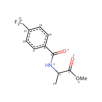 COC(=O)C(C)NC(=O)c1ccc(C(F)(F)F)cc1